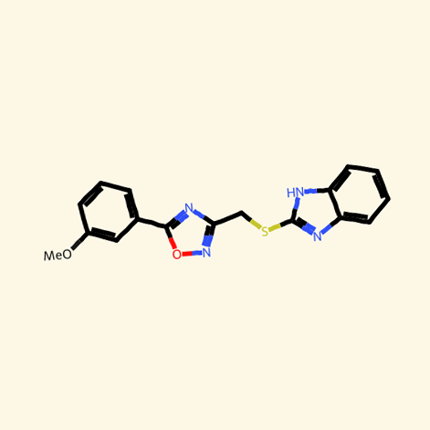 COc1cccc(-c2nc(CSc3nc4ccccc4[nH]3)no2)c1